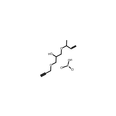 C#CCOCC(O)COC(C)C=C.OP(Cl)Cl